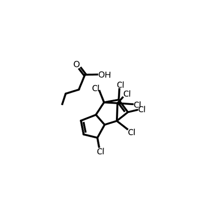 CCCC(=O)O.ClC1=C(Cl)C2(Cl)C3C(Cl)C=CC3C1(Cl)C2(Cl)Cl